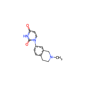 CN1CCc2ccc(-n3ccc(=O)[nH]c3=O)cc2C1